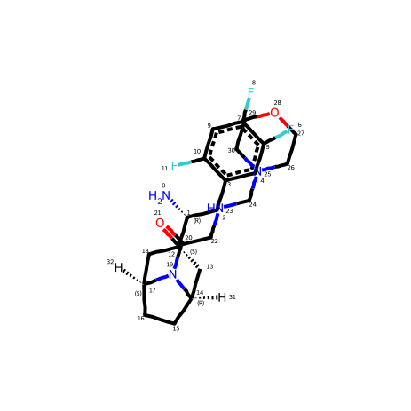 N[C@H](Cc1cc(F)c(F)cc1F)[C@@H]1C[C@H]2CC[C@@H](C1)N2C(=O)CNCN1CCOCC1